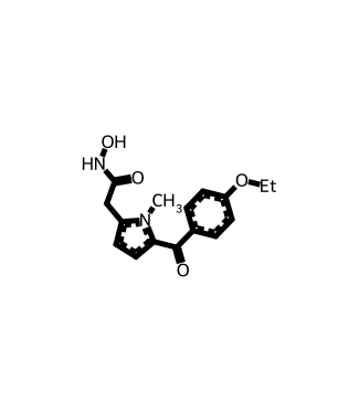 CCOc1ccc(C(=O)c2ccc(CC(=O)NO)n2C)cc1